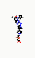 CC(=O)c1cc2cnc(Nc3ccc(C4CCN(CCS(=O)(=O)CCO)CC4)cn3)nc2n(C2CCCC2)c1=O